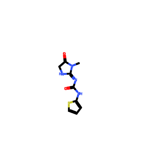 CN1C(=O)CNC1=NC(=O)Nc1cccs1